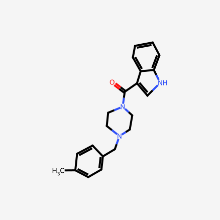 Cc1ccc(CN2CCN(C(=O)c3c[nH]c4ccccc34)CC2)cc1